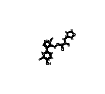 Cc1nc(-c2cnn(C)c2COC(=O)N(C)CC2CCOC2)ccc1O